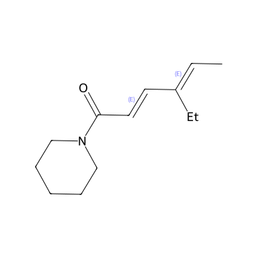 C/C=C(/C=C/C(=O)N1CCCCC1)CC